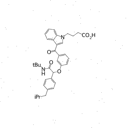 CC(C)Cc1ccc(C(Oc2cccc(C(=O)c3cn(CCCC(=O)O)c4ccccc34)c2)C(=O)NC(C)(C)C)cc1